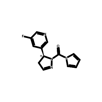 O=C(N1N=CC[C@H]1c1cncc(F)c1)n1cccc1